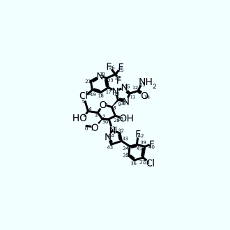 CO[C@H]1C(C(C)O)O[C@@H](c2nc(C(N)=O)nn2-c2cc(Cl)cnc2C(F)(F)F)C(O)C1n1cc(-c2ccc(Cl)c(F)c2F)cn1